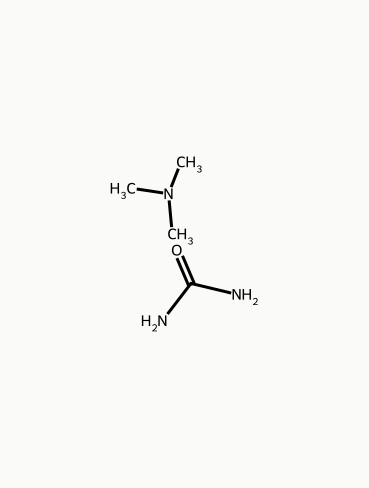 CN(C)C.NC(N)=O